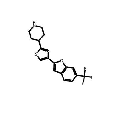 FC(F)(F)c1ccc2cc(-c3csc(C4CCNCC4)n3)oc2c1